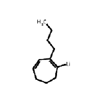 [Li][C]1=C(CCCC)C=CCCC1